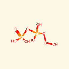 O=P(O)(O)O[PH](O)(O)OOO